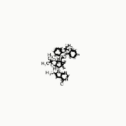 Cc1cc2c(Cl)ncnc2n1[C@H]1[C@@H]2OC(C)(C)O[C@@H]2[C@]2(CO[Si](c3ccccc3)(c3ccccc3)C(C)(C)C)C[C@H]12